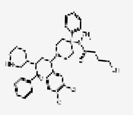 CCCCC(=O)N(C)C1(c2ccccc2)CCN(C(CC(C(=O)c2ccccc2)C2CCCNC2)c2ccc(Cl)c(Cl)c2)CC1